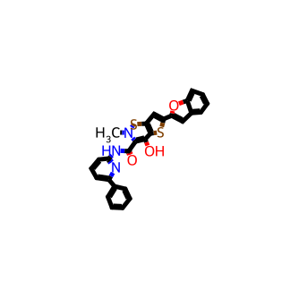 CN1Sc2cc(-c3cc4ccccc4o3)sc2C(O)=C1C(=O)Nc1cccc(-c2ccccc2)n1